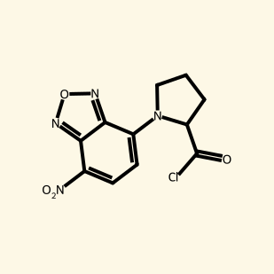 O=C(Cl)C1CCCN1c1ccc([N+](=O)[O-])c2nonc12